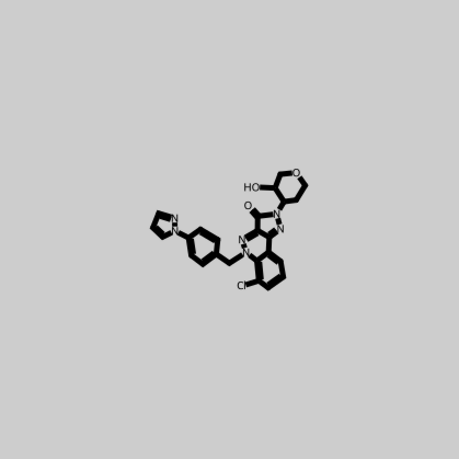 O=c1c2nn(Cc3ccc(-n4cccn4)cc3)c3c(Cl)cccc3c-2nn1C1CCOCC1O